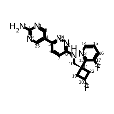 Nc1ncc(-c2ccc(NC[C@]3(c4ncccc4F)C[C@H](F)C3)nn2)cn1